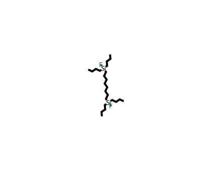 CCCC[Si](F)(CCCC)CCCCCCCC[Si](F)(CCCC)CCCC